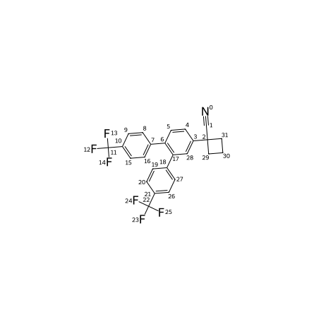 N#CC1(c2ccc(-c3ccc(C(F)(F)F)cc3)c(-c3ccc(C(F)(F)F)cc3)c2)CCC1